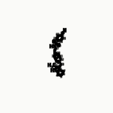 Cc1[nH]c2ccccc2c1CN1CC2CN(CCNS(=O)(=O)c3ccc(C#N)cc3)CC(C1)O2